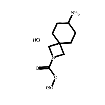 CC(C)(C)OC(=O)N1CC2(CCC(N)CC2)C1.Cl